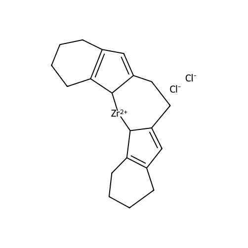 C1=C2CCC3=CC4=C(CCCC4)[CH]3[Zr+2][CH]2C2=C1CCCC2.[Cl-].[Cl-]